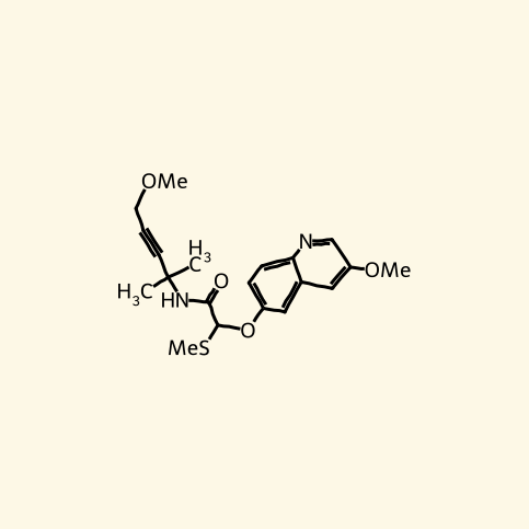 COCC#CC(C)(C)NC(=O)C(Oc1ccc2ncc(OC)cc2c1)SC